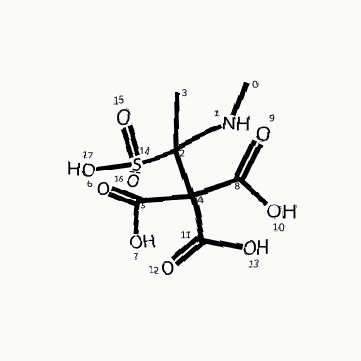 CNC(C)(C(C(=O)O)(C(=O)O)C(=O)O)S(=O)(=O)O